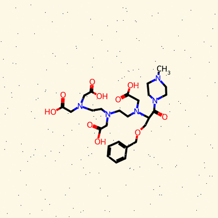 CN1CCN(C(=O)C(COCc2ccccc2)N(CCN(CCN(CC(=O)O)CC(=O)O)CC(=O)O)CC(=O)O)CC1